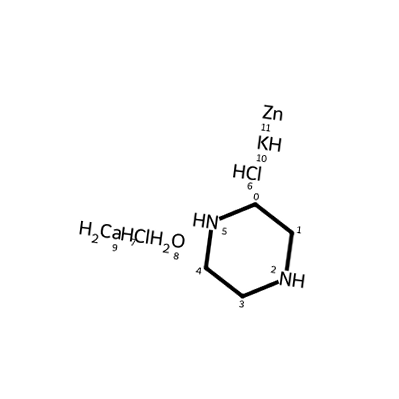 C1CNCCN1.Cl.Cl.O.[CaH2].[KH].[Zn]